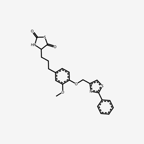 COc1cc(CCCC2NC(=O)SC2=O)ccc1OCc1csc(-c2ccccc2)n1